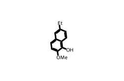 CCc1ccc2c(O)c(OC)ccc2c1